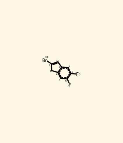 Fc1cc2c(cc1F)CC(Br)=C2